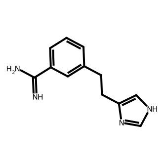 N=C(N)c1cccc(CCc2c[nH]cn2)c1